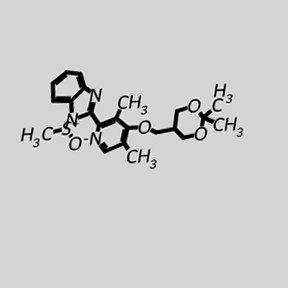 Cc1cnc(-c2nc3ccccc3n2[S+](C)[O-])c(C)c1OCC1COC(C)(C)OC1